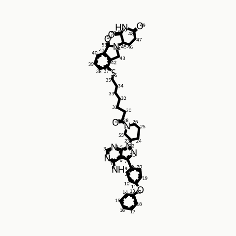 Nc1ncnc2c1c(-c1ccc(Oc3ccccc3)cc1)nn2C1CCCN(C(=O)CCCCCCSc2cccc3c2CN(C2CCC(=O)NC2=O)C3=O)C1